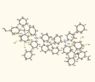 C=Cc1ccc(C2(c3c(F)c(F)c(F)c(F)c3F)c3ccccc3-c3ccc(N(c4ccc(-c5ccccc5)cc4)c4ccc5c(c4)C(c4ccccc4)(c4ccccc4)c4cc(N(c6ccc(-c7ccccc7)cc6)c6ccc7c(c6)[C@](c6ccc(C=C)cc6)(c6c(F)c(F)c(F)c(F)c6F)c6ccccc6-7)ccc4-5)cc32)cc1